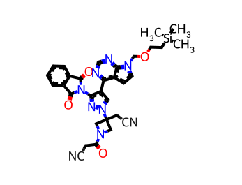 C[Si](C)(C)CCOCn1ccc2c(-c3cn(C4(CC#N)CN(C(=O)CC#N)C4)nc3N3C(=O)c4ccccc4C3=O)ncnc21